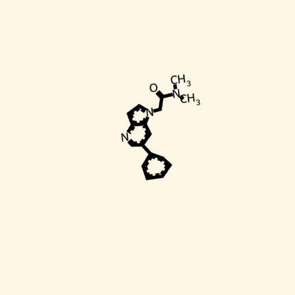 CN(C)C(=O)Cn1ccc2ncc(-c3ccccc3)cc21